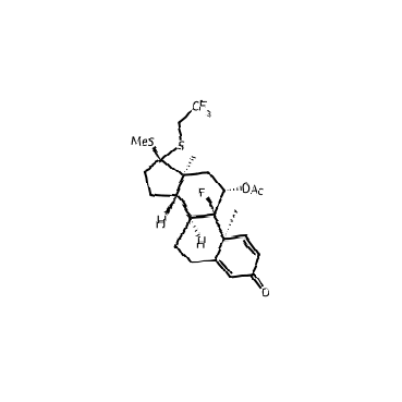 CS[C@]1(SCC(F)(F)F)CC[C@H]2[C@@H]3CCC4=CC(=O)C=C[C@]4(C)[C@@]3(F)[C@@H](OC(C)=O)C[C@@]21C